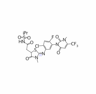 CC(C)S(=O)(=O)NC(=O)CC1S/C(=N\c2cc(-n3c(=O)cc(C(F)(F)F)n(C)c3=O)c(F)cc2Cl)N(C)C1=O